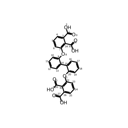 O=C(O)c1cccc(Oc2ccccc2-c2ccccc2Oc2cccc(C(=O)O)c2C(=O)O)c1C(=O)O